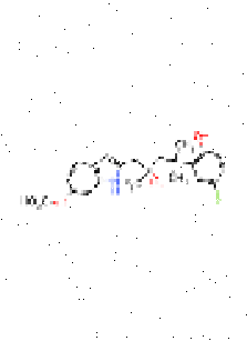 CC(C)(CC(O)(Cc1cc2ccc(OC(=O)O)cc2[nH]1)C(F)(F)F)c1cc(F)ccc1O